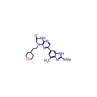 CNc1nc2c(C)cc(-c3cnc4c(n3)N(CCC3CCOCC3)CC(=O)N4)cc2[nH]1